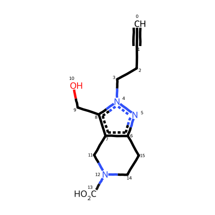 C#CCCn1nc2c(c1CO)CN(C(=O)O)CC2